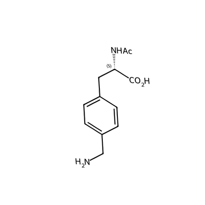 CC(=O)N[C@@H](Cc1ccc(CN)cc1)C(=O)O